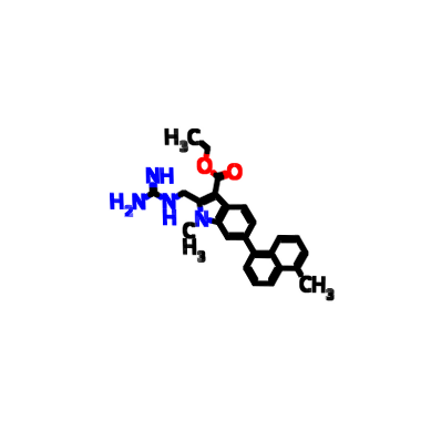 CCOC(=O)c1c(CNC(=N)N)n(C)c2cc(-c3cccc4c(C)cccc34)ccc12